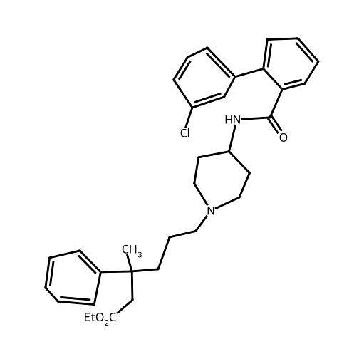 CCOC(=O)CC(C)(CCCN1CCC(NC(=O)c2ccccc2-c2cccc(Cl)c2)CC1)c1ccccc1